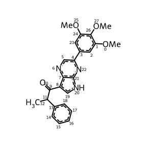 COc1cc(-c2cnc3c(C(=O)C(C)c4ccccc4)c[nH]c3n2)cc(OC)c1OC